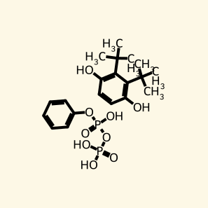 CC(C)(C)c1c(O)ccc(O)c1C(C)(C)C.O=P(O)(O)OP(=O)(O)Oc1ccccc1